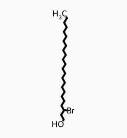 CCCCCCCCCCCCCCCCCCCCCC(Br)CCO